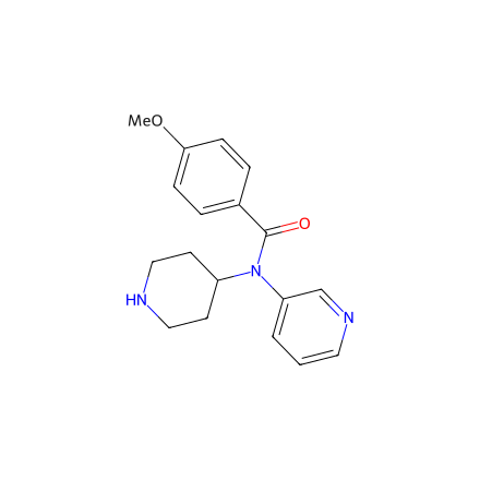 COc1ccc(C(=O)N(c2cccnc2)C2CCNCC2)cc1